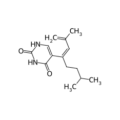 C=C(C)/C=C(/CCC(C)C)c1c[nH]c(=O)[nH]c1=O